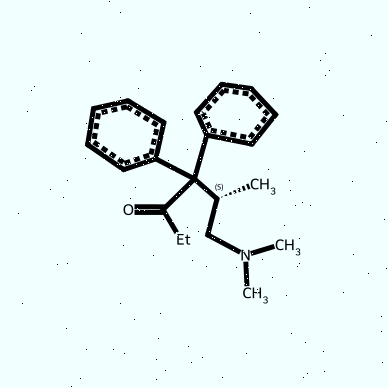 CCC(=O)C(c1ccccc1)(c1ccccc1)[C@H](C)CN(C)C